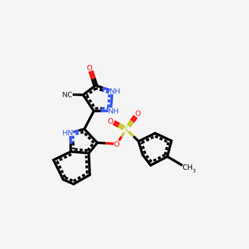 Cc1ccc(S(=O)(=O)Oc2c(-c3[nH][nH]c(=O)c3C#N)[nH]c3ccccc23)cc1